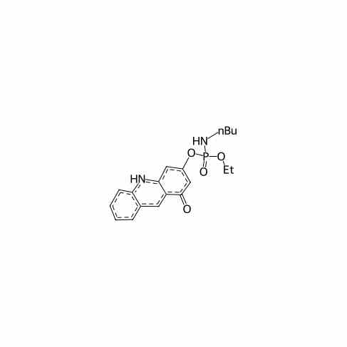 CCCCNP(=O)(OCC)Oc1cc2[nH]c3ccccc3cc-2c(=O)c1